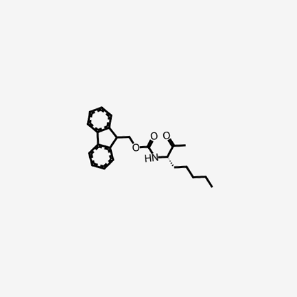 CCCCC[C@H](NC(=O)OCC1c2ccccc2-c2ccccc21)C(C)=O